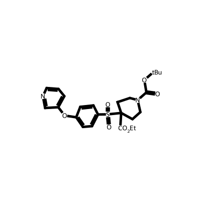 CCOC(=O)C1(S(=O)(=O)c2ccc(Oc3cccnc3)cc2)CCN(C(=O)OC(C)(C)C)CC1